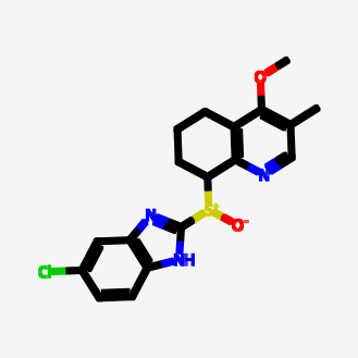 COc1c(C)cnc2c1CCCC2[S+]([O-])c1nc2cc(Cl)ccc2[nH]1